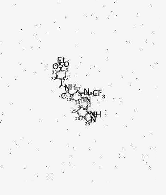 CCS(=O)(=O)c1ccc(CNC(=O)c2ccc3c(c2)nc(C(F)(F)F)n3Cc2cccc3cn[nH]c23)cc1